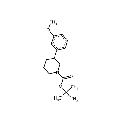 COc1cccc(C2CCCN(C(=O)OC(C)(C)C)C2)c1